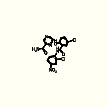 NC(=O)c1cnccn1.O=C(Nc1ccc([N+](=O)[O-])cc1Cl)c1cc(Cl)ccc1O